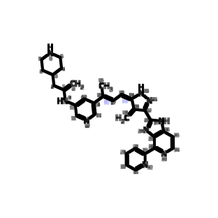 C=C(CC1CCNCC1)Nc1cncc(/C(C)=C/C=c2/[nH]nc(-c3nc4c(-c5ccccn5)nccc4[nH]3)c2=C)c1